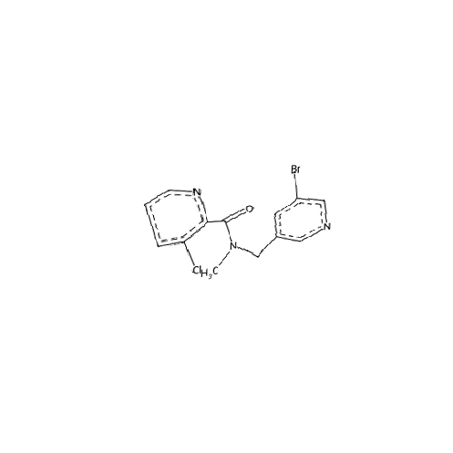 CN(Cc1cncc(Br)c1)C(=O)c1ncccc1Cl